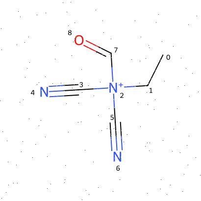 CC[N+](C#N)(C#N)C=O